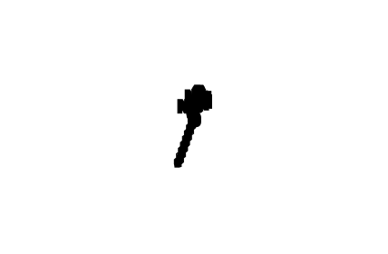 CCCCCCCCCCCCCCCCOc1ccc2c(c1)C(C)(C)C(Sc1nnnn1-c1ccccc1)C2=C(C#N)C#N